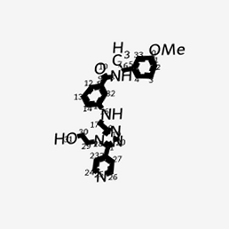 COc1cccc([C@@H](C)NC(=O)c2cccc(NCc3nnc(-c4ccncc4)n3CCO)c2)c1